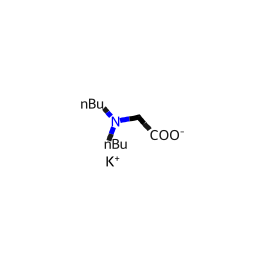 CCCCN(CCCC)CC(=O)[O-].[K+]